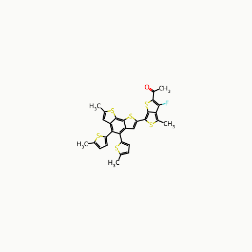 CC(=O)c1sc2c(-c3cc4c(-c5ccc(C)s5)c(-c5ccc(C)s5)c5cc(C)sc5c4s3)sc(C)c2c1F